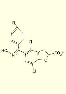 O=C(O)C1Cc2c(Cl)c(/C(=N/O)c3ccc(Cl)cc3)cc(Cl)c2O1